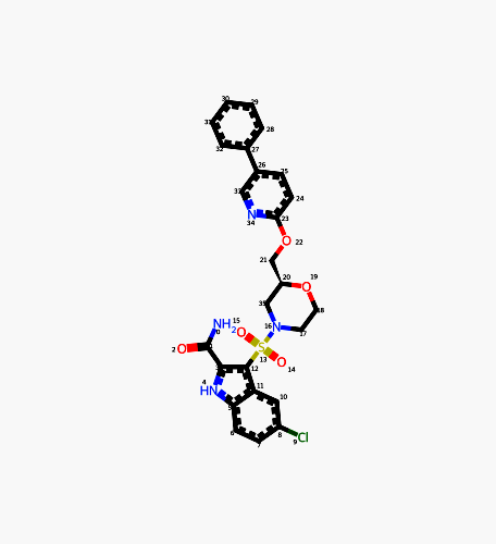 NC(=O)c1[nH]c2ccc(Cl)cc2c1S(=O)(=O)N1CCO[C@H](COc2ccc(-c3ccccc3)cn2)C1